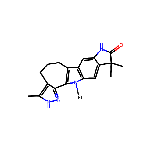 CCn1c2c(c3cc4c(cc31)C(C)(C)C(=O)N4)CCCc1c-2n[nH]c1C